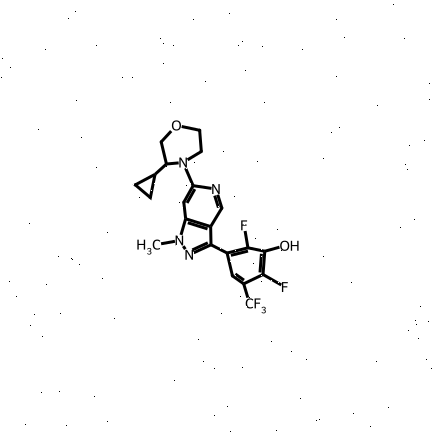 Cn1nc(-c2cc(C(F)(F)F)c(F)c(O)c2F)c2cnc(N3CCOCC3C3CC3)cc21